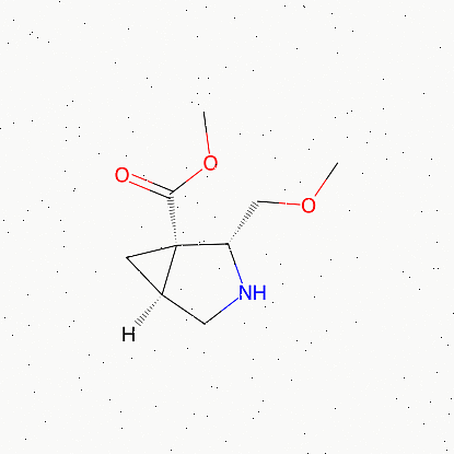 COC[C@@H]1NC[C@H]2C[C@]21C(=O)OC